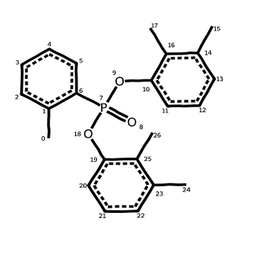 Cc1ccccc1P(=O)(Oc1cccc(C)c1C)Oc1cccc(C)c1C